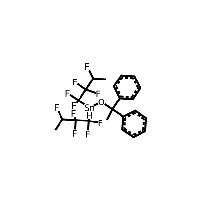 CC(F)C(F)(F)[C](F)(F)[SnH]([O]C(C)(c1ccccc1)c1ccccc1)[C](F)(F)C(F)(F)C(C)F